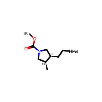 CNCC[C@@H]1CN(C(=O)OC(C)(C)C)C[C@@H]1C